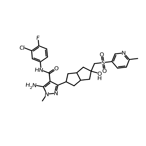 Cc1ccc(S(=O)(=O)CC2(O)CC3CC(c4nn(C)c(N)c4C(=O)Nc4ccc(F)c(Cl)c4)CC3C2)cn1